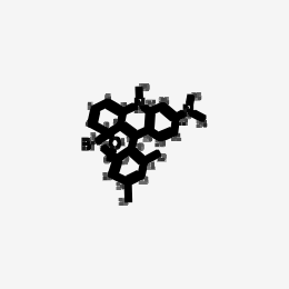 COC1(Br)C=CC=C2C1=C(c1c(C)cc(C)cc1C)c1ccc(N(C)C)cc1N2C